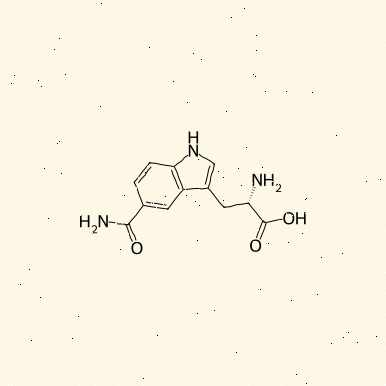 NC(=O)c1ccc2[nH]cc(C[C@H](N)C(=O)O)c2c1